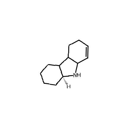 C1=CC2N[C@H]3CCCCC3C2CC1